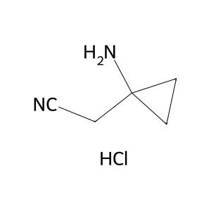 Cl.N#CCC1(N)CC1